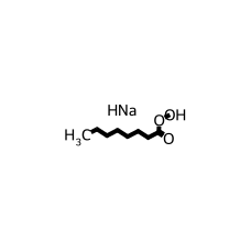 CCCCCCCC(=O)OO.[NaH]